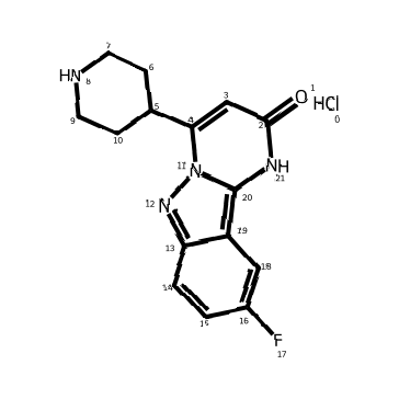 Cl.O=c1cc(C2CCNCC2)n2nc3ccc(F)cc3c2[nH]1